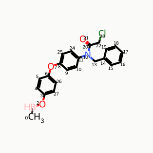 CBOc1ccc(Oc2ccc(N(Cc3ccccc3)C(=O)CCl)cc2)cc1